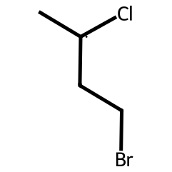 C[C](Cl)CCBr